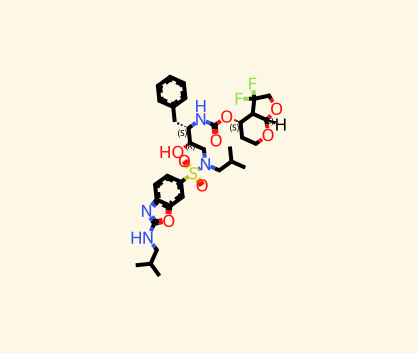 CC(C)CNc1nc2ccc(S(=O)(=O)N(CC(C)C)C[C@@H](O)[C@H](Cc3ccccc3)NC(=O)O[C@H]3CCO[C@H]4OCC(F)(F)C43)cc2o1